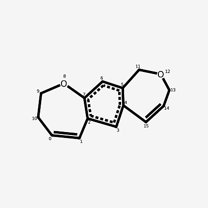 C1=Cc2cc3c(cc2OCC1)COCC=C3